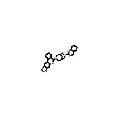 O=C(c1ccccc1-c1ccc2c(c1)OCO2)N1CC2CC(C1)CN(c1ncc3ccccc3n1)C2